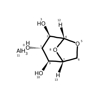 O[C@@H]1[C@@H](O)[C@@H]2OC[C@@H](O2)[C@H]1O.[AlH3]